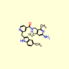 Cc1ccc2[nH]c(Cc3cc(C(=O)NCc4c(C)cc(N)nc4C)ccn3)cc2c1